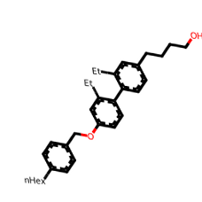 CCCCCCc1ccc(COc2ccc(-c3ccc(CCCCO)cc3CC)c(CC)c2)cc1